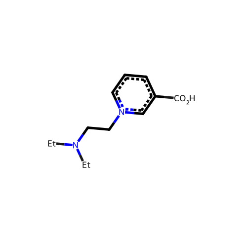 CCN(CC)CC[n+]1cccc(C(=O)O)c1